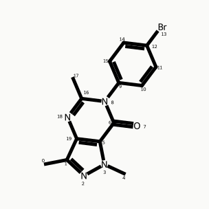 Cc1nn(C)c2c(=O)n(-c3ccc(Br)cc3)c(C)nc12